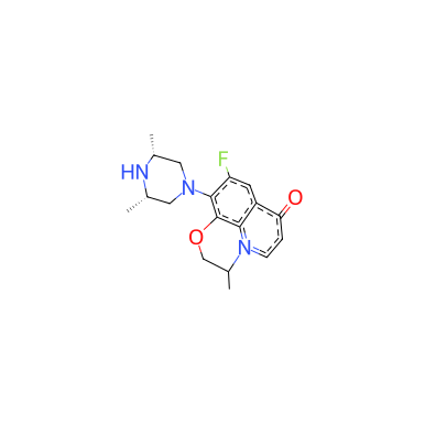 CC1COc2c(N3C[C@@H](C)N[C@@H](C)C3)c(F)cc3c(=O)ccn1c23